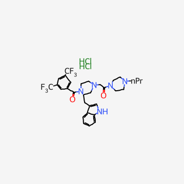 CCCN1CCN(C(=O)CN2CCN(C(=O)c3cc(C(F)(F)F)cc(C(F)(F)F)c3)C(Cc3c[nH]c4ccccc34)C2)CC1.Cl.Cl